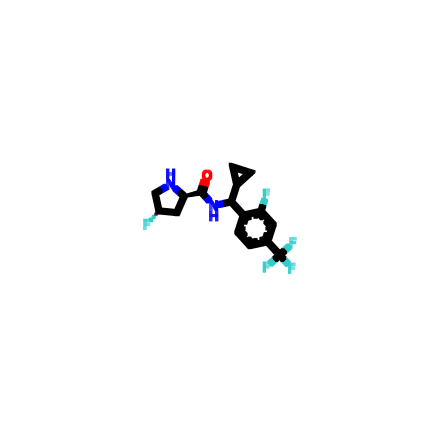 O=C(NC(c1ccc(C(F)(F)F)cc1F)C1CC1)[C@H]1C[C@H](F)CN1